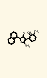 Cc1cccc(C2=C(N)OC(c3cccc4ccccc34)C2=O)c1C